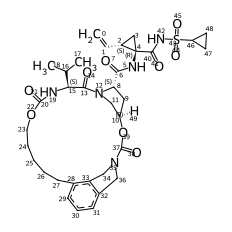 C=C[C@@H]1C[C@]1(NC(=O)[C@@H]1C[C@@H]2CN1C(=O)[C@H](C(C)C)NC(=O)OCCCCCc1cccc3c1CN(C3)C(=O)O2)C(=O)NS(=O)(=O)C1CC1